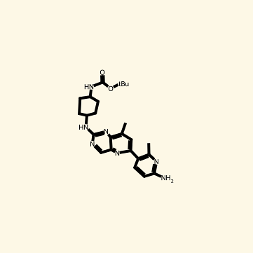 Cc1nc(N)ccc1-c1cc(C)c2nc(NC3CCC(NC(=O)OC(C)(C)C)CC3)ncc2n1